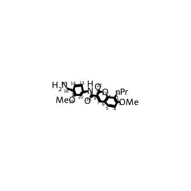 CCCc1c(OC)ccc2cc(C(=O)Nc3ccc(CN)c(OC)c3)c(=O)oc12